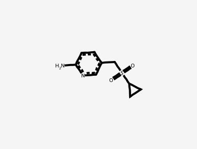 Nc1ccc(CS(=O)(=O)C2CC2)cn1